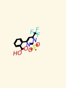 CS(=O)(=O)c1nc(-c2ccccc2C(=O)O)cc(C(F)(F)F)n1